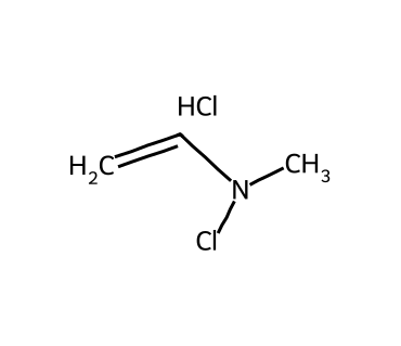 C=CN(C)Cl.Cl